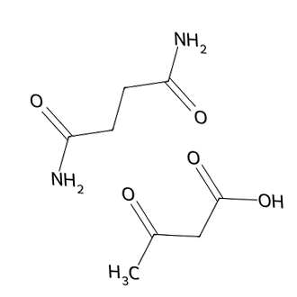 CC(=O)CC(=O)O.NC(=O)CCC(N)=O